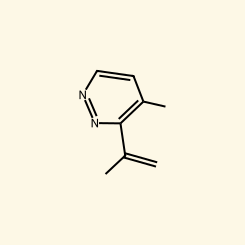 C=C(C)c1nnccc1C